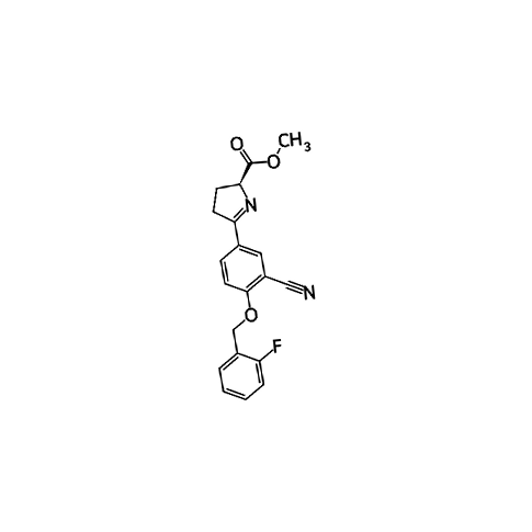 COC(=O)[C@@H]1CCC(c2ccc(OCc3ccccc3F)c(C#N)c2)=N1